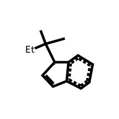 CCC(C)(C)[C]1C=Cc2ccccc21